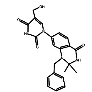 CC1(C)NC(=O)c2ccc(-n3cc(CO)c(=O)[nH]c3=O)cc2N1Cc1ccccc1